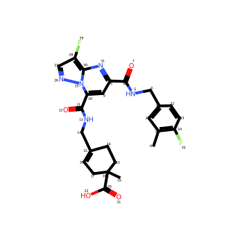 Cc1cc(CNC(=O)c2cc(C(=O)NCC3=CCC(C)(C(=O)O)CC3)n3ncc(F)c3n2)ccc1F